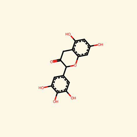 O=C1Cc2c(O)cc(O)cc2OC1c1cc(O)c(O)c(O)c1